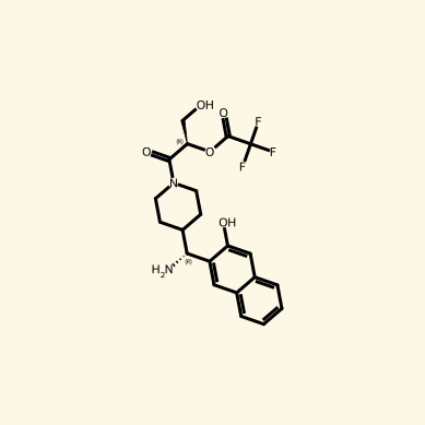 N[C@@H](c1cc2ccccc2cc1O)C1CCN(C(=O)[C@@H](CO)OC(=O)C(F)(F)F)CC1